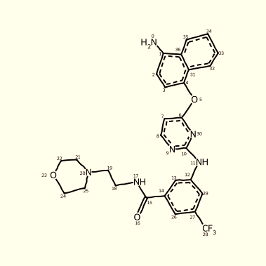 Nc1ccc(Oc2ccnc(Nc3cc(C(=O)NCCN4CCOCC4)cc(C(F)(F)F)c3)n2)c2ccccc12